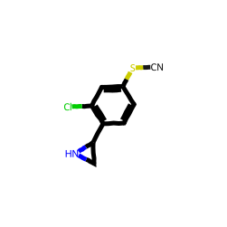 N#CSc1ccc(C2CN2)c(Cl)c1